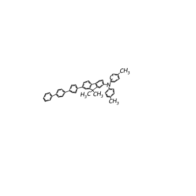 Cc1ccc(N(c2ccc(C)cc2)c2ccc3c(c2)C(C)(C)c2cc(-c4ccc(-c5ccc(-c6ccccc6)cc5)cc4)ccc2-3)cc1